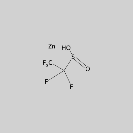 O=S(O)C(F)(F)C(F)(F)F.[Zn]